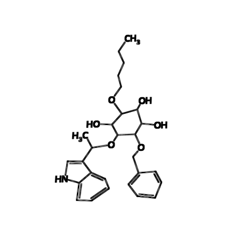 CCCCCOC1C(O)C(O)C(OCc2ccccc2)C(OC(C)c2c[nH]c3ccccc23)C1O